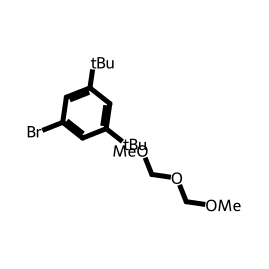 CC(C)(C)c1cc(Br)cc(C(C)(C)C)c1.COCOCOC